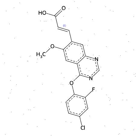 COc1cc2c(Oc3ccc(Cl)cc3F)ncnc2cc1/C=C/C(=O)O